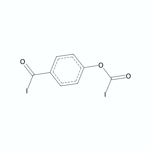 O=C(I)Oc1ccc(C(=O)I)cc1